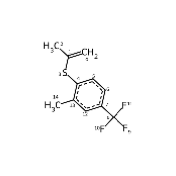 C=C(C)Sc1ccc(C(F)(F)F)cc1C